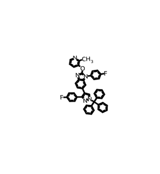 Cc1ncccc1Oc1nc2ccc(-c3cn(C(c4ccccc4)(c4ccccc4)c4ccccc4)nc3-c3ccc(F)cc3)cc2n1-c1ccc(F)cc1